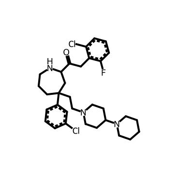 O=C(Cc1c(F)cccc1Cl)C1CC(CCN2CCC(N3CCCCC3)CC2)(c2cccc(Cl)c2)CCCN1